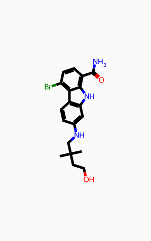 CC(C)(CCO)CNc1ccc2c(c1)[nH]c1c(C(N)=O)ccc(Br)c12